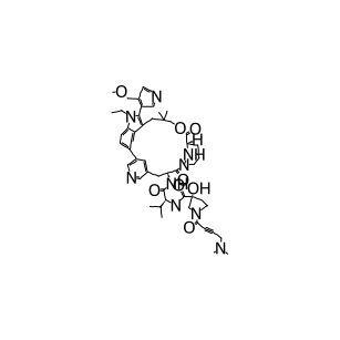 CCn1c(-c2cnccc2COC)c2c3cc(ccc31)-c1cncc(c1)C[C@H](NC(=O)[C@H](C(C)C)N(C)C(=O)[C@@]1(O)CCN(C(=O)C#CCN(C)C)C1)C(=O)N1CCC[C@H](N1)C(=O)OCC(C)(C)C2